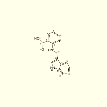 O=C(O)c1cccnc1NCc1c[nH]c2ncccc12